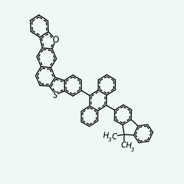 CC1(C)c2ccccc2-c2ccc(-c3c4ccccc4c(-c4ccc5c(c4)sc4ccc6cc7c(cc6c45)oc4ccccc47)c4ccccc34)cc21